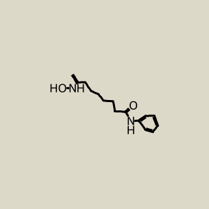 C=C(CCCCCCC(=O)Nc1ccccc1)NO